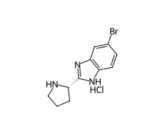 Brc1ccc2[nH]c([C@@H]3CCCN3)nc2c1.Cl